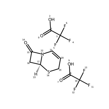 O=C(O)C(F)(F)F.O=C(O)C(F)(F)F.O=C1C[C@@H]2SCC=CN12